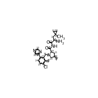 CC1(C[C@@H](N)C(=O)NC(=O)C2C[C@@H](F)CN2Cc2c(-n3cncn3)ccc(Cl)c2F)CC1